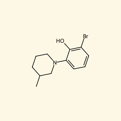 CC1CCCN(c2cccc(Br)c2O)C1